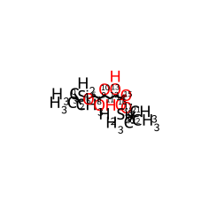 CC(C)(C)[SiH2]OCC(O)C(=O)CC(O)C(=O)OO[SiH2]C(C)(C)C